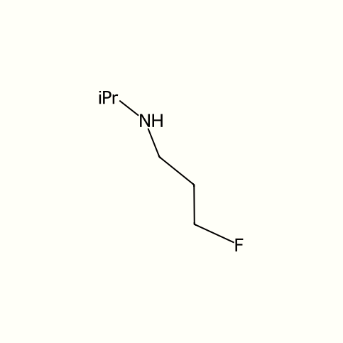 CC(C)NCCCF